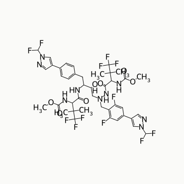 COC(=O)NC(C(=O)NC(Cc1ccc(-c2cnn(C(F)F)c2)cc1)C(O)CN(Cc1c(F)cc(-c2cnn(C(F)F)c2)cc1F)NC(=O)C(NC(=O)OC)C(C)(C)C(F)(F)F)C(C)(C)C(F)(F)F